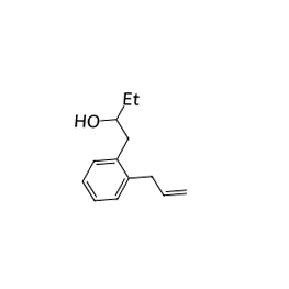 C=CCc1ccccc1CC(O)CC